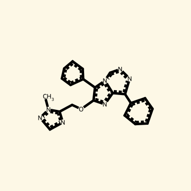 Cn1ncnc1COc1nc2c(-c3ccccc3)nncn2c1-c1ccccc1